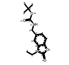 CCn1c(=O)oc2ccc(CNC(=O)OC(C)(C)C)cc21